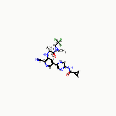 C[C@H](Nc1cc(-c2cnc(NC(=O)C3CC3)cn2)cnc1C#N)C(=O)N(C)CC(F)(F)F